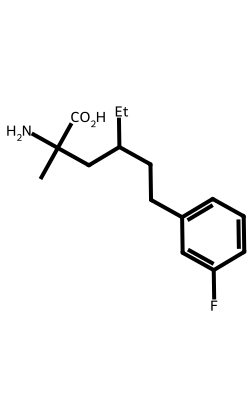 CCC(CCc1cccc(F)c1)CC(C)(N)C(=O)O